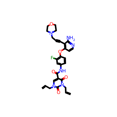 C=CCn1cc(C(=O)Nc2ccc(Oc3ccnc(N)c3C#CCN3CCOCC3)c(F)c2)c(=O)n(CC=C)c1=O